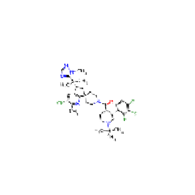 Cc1nc2c(cc1Cl)[C@H](C(C)(C)c1ncnn1C)CC21CCN(C(=O)[C@@H]2CCN(C(C)(C)C)C[C@H]2c2ccc(F)c(F)c2F)CC1